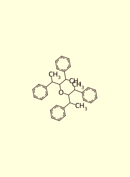 CC(c1ccccc1)C(OC(C(C)c1ccccc1)C(C)c1ccccc1)C(C)c1ccccc1